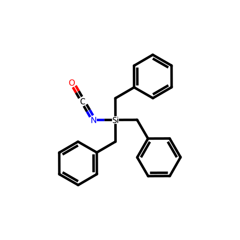 O=C=N[Si](Cc1ccccc1)(Cc1ccccc1)Cc1ccccc1